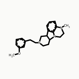 COc1cccc(CCN2CCC3C(C2)c2cccc4c2N3CCN4C)c1